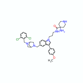 COc1ccc(-c2cn(CCCNC(=O)C3(N)CCNCC3)c3ccc(CN4CC5CC4CN5Cc4c(Cl)cccc4Cl)cc23)cc1